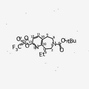 CCC1CN(C(=O)OC(C)(C)C)CCc2ccc(OS(=O)(=O)C(F)(F)F)nc21